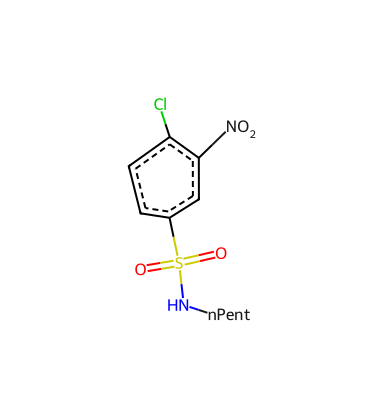 CCCCCNS(=O)(=O)c1ccc(Cl)c([N+](=O)[O-])c1